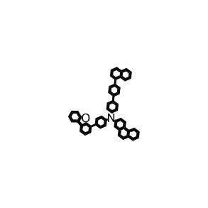 c1ccc2c(-c3ccc(-c4ccc(N(c5ccc(-c6cccc7c6oc6ccccc67)cc5)c5ccc6c(ccc7ccccc76)c5)cc4)cc3)cccc2c1